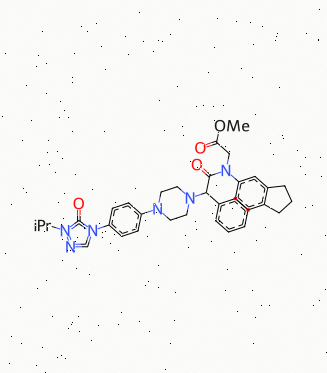 COC(=O)CN(C(=O)C(c1ccccc1)N1CCN(c2ccc(-n3cnn(C(C)C)c3=O)cc2)CC1)c1ccc2c(c1)CCC2